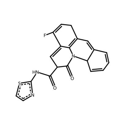 O=C(Nc1nccs1)C1C=C2C(F)=CCC3=C2N(C1=O)C1C=CC=CC1=C3